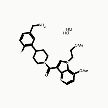 COCCn1cc(C(=O)N2CCC(c3cc(CN)ccc3F)CC2)c2nccc(OC)c21.Cl.Cl